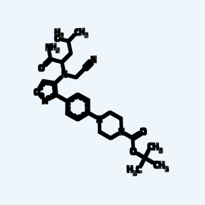 CC(C)CC(C(N)=O)N(CC#N)c1conc1-c1ccc(N2CCN(C(=O)OC(C)(C)C)CC2)cc1